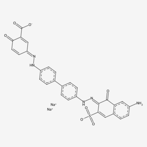 Nc1ccc2c(c1)C(=O)/C(=N/Nc1ccc(-c3ccc(N/N=C4\C=CC(=O)C(C(=O)[O-])=C4)cc3)cc1)C(S(=O)(=O)[O-])=C2.[Na+].[Na+]